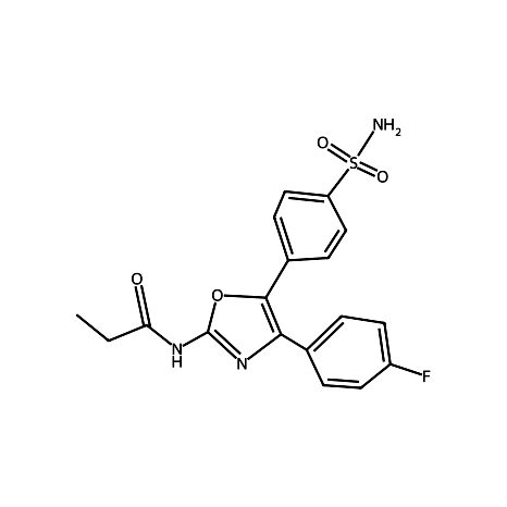 CCC(=O)Nc1nc(-c2ccc(F)cc2)c(-c2ccc(S(N)(=O)=O)cc2)o1